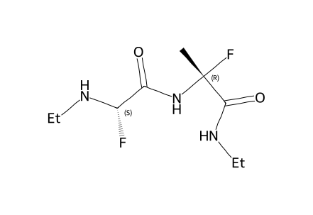 CCNC(=O)[C@@](C)(F)NC(=O)[C@H](F)NCC